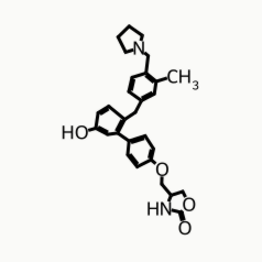 Cc1cc(Cc2ccc(O)cc2-c2ccc(OCC3COC(=O)N3)cc2)ccc1CN1CCCC1